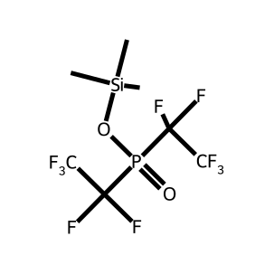 C[Si](C)(C)OP(=O)(C(F)(F)C(F)(F)F)C(F)(F)C(F)(F)F